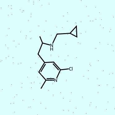 Cc1cc(CC(C)NCC2CC2)cc(Cl)n1